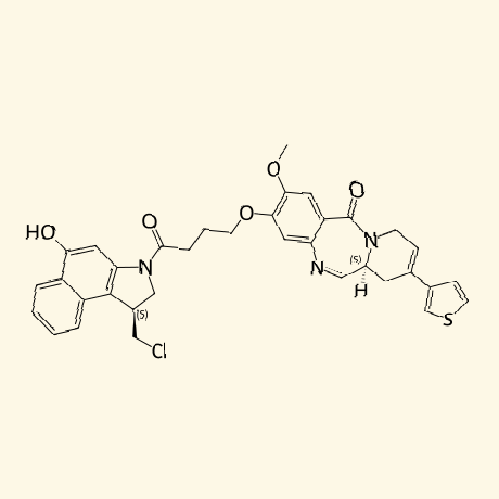 COc1cc2c(cc1OCCCC(=O)N1C[C@@H](CCl)c3c1cc(O)c1ccccc31)N=C[C@@H]1CC(c3ccsc3)=CCN1C2=O